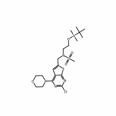 CC(C)(C)[Si](C)(C)OCCN(Cc1cc2c(N3CCOCC3)nc(Cl)nc2s1)S(C)(=O)=O